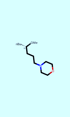 CCCC[C@@H](CCCN1CCOCC1)OC